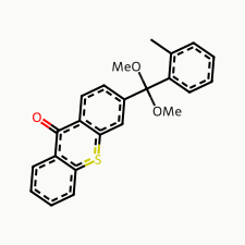 COC(OC)(c1ccc2c(=O)c3ccccc3sc2c1)c1ccccc1C